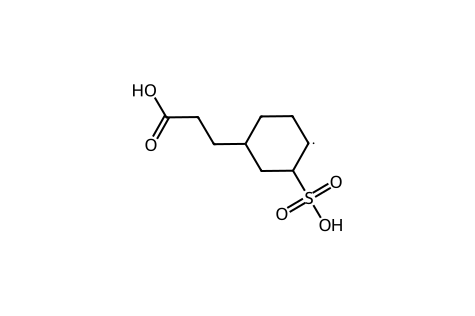 O=C(O)CCC1CC[CH]C(S(=O)(=O)O)C1